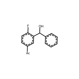 CC(=O)c1ccc(F)c(C(O)c2ccccc2)c1